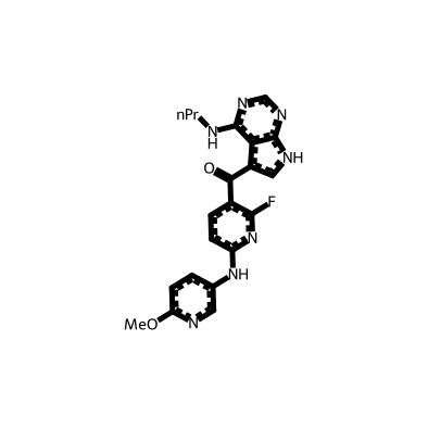 CCCNc1ncnc2[nH]cc(C(=O)c3ccc(Nc4ccc(OC)nc4)nc3F)c12